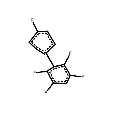 Fc1ccc(-c2c(F)c(F)cc(F)c2F)cc1